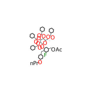 CCCOc1ccc(Cc2c(F)cc(COC(C)=O)cc2O[C@@H]2O[C@H]([C@@H](C)OC(=O)c3ccccc3)[C@@H](OC(=O)c3ccccc3)[C@H](OC(=O)c3ccccc3)[C@H]2OC(=O)c2ccccc2)cc1